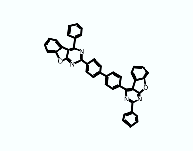 c1ccc(-c2nc(-c3ccc(-c4ccc(-c5nc(-c6ccccc6)c6c(n5)oc5ccccc56)cc4)cc3)c3c(n2)oc2ccccc23)cc1